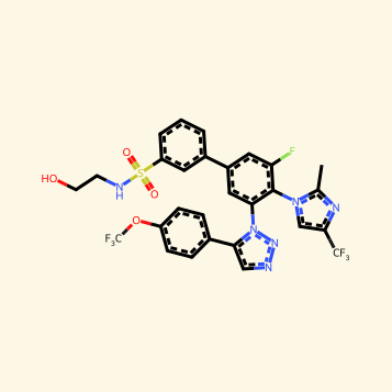 Cc1nc(C(F)(F)F)cn1-c1c(F)cc(-c2cccc(S(=O)(=O)NCCO)c2)cc1-n1nncc1-c1ccc(OC(F)(F)F)cc1